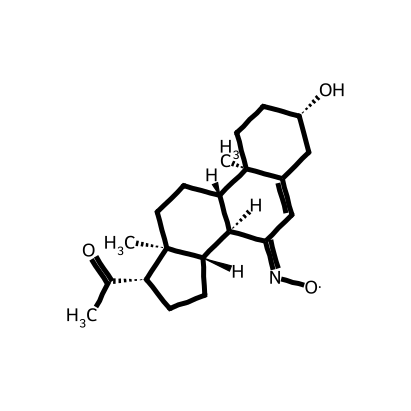 CC(=O)[C@H]1CC[C@H]2[C@@H]3/C(=N/[O])C=C4C[C@@H](O)CC[C@]4(C)[C@H]3CC[C@]12C